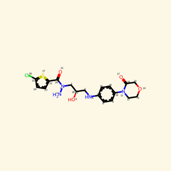 NN(C[C@H](O)CNc1ccc(N2CCOCC2=O)cc1)C(=O)c1ccc(Cl)s1